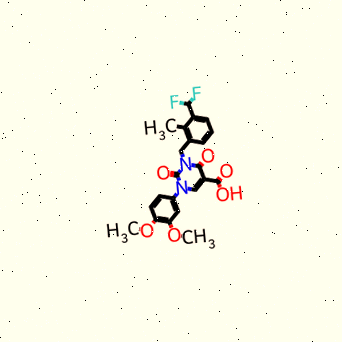 COc1ccc(-n2cc(C(=O)O)c(=O)n(Cc3cccc(C(F)F)c3C)c2=O)cc1OC